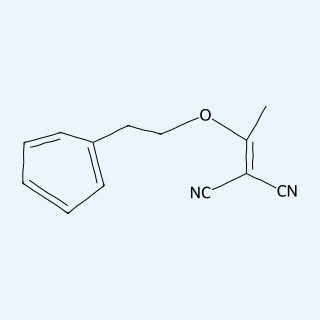 CC(OCCc1ccccc1)=C(C#N)C#N